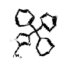 Cc1nc(C(c2ccccc2)(c2ccccc2)c2ccccc2)c[nH]1